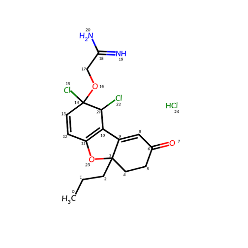 CCCC12CCC(=O)C=C1C1=C(C=CC(Cl)(OCC(=N)N)C1Cl)O2.Cl